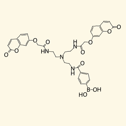 O=C(COc1ccc2ccc(=O)oc2c1)NCCN(CCNC(=O)COc1ccc2ccc(=O)oc2c1)CCNC(=O)c1ccc(B(O)O)cc1